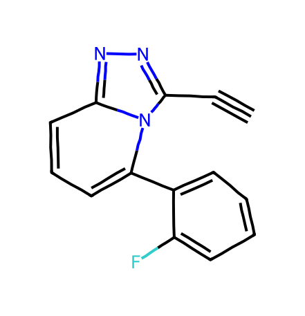 C#Cc1nnc2cccc(-c3ccccc3F)n12